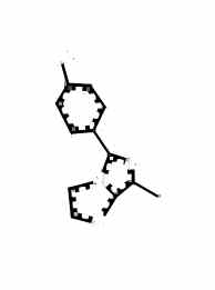 N#Cc1ccc(-c2nc(I)c3occn23)cc1